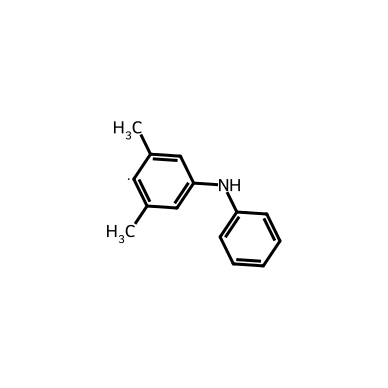 Cc1[c]c(C)cc(Nc2ccccc2)c1